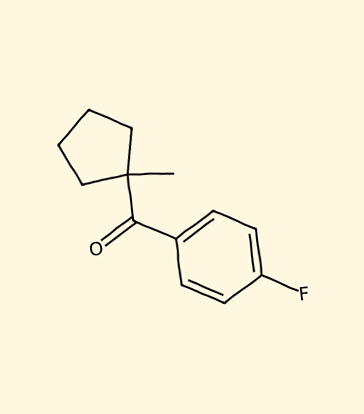 CC1(C(=O)c2ccc(F)cc2)CCCC1